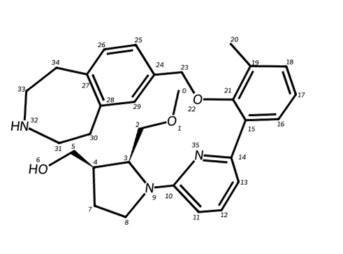 COC[C@@H]1[C@H](CO)CCN1c1cccc(-c2cccc(C)c2OCc2ccc3c(c2)CCNCC3)n1